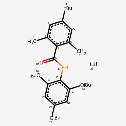 Cc1cc(C(C)(C)C)cc(C)c1C(=O)Pc1c(OCC(C)C)cc(OCC(C)C)cc1OCC(C)C.[LiH]